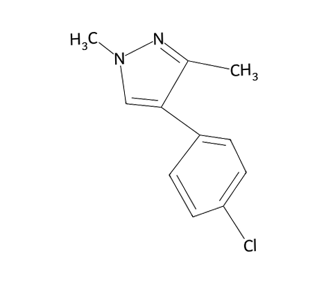 Cc1nn(C)cc1-c1ccc(Cl)cc1